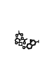 CC(=O)O[C@H]1CO[C@]2(C[C@@H](Oc3ccc4cc(I)cnc4c3)C2)[C@H]1OC(C)=O